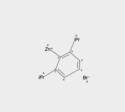 CC(C)c1cccc(C(C)C)[c]1[Zn+].[Br-]